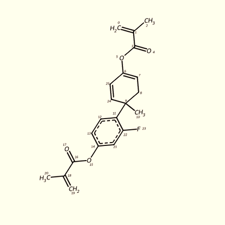 C=C(C)C(=O)OC1=CCC(C)(c2ccc(OC(=O)C(=C)C)cc2F)C=C1